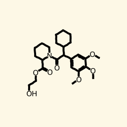 COc1cc(C(C(=O)N2CCCCC2C(=O)OCCO)C2CCCCC2)cc(OC)c1OC